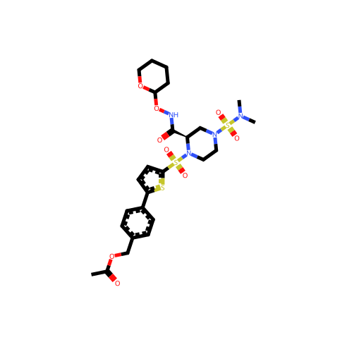 CC(=O)OCc1ccc(-c2ccc(S(=O)(=O)N3CCN(S(=O)(=O)N(C)C)C[C@@H]3C(=O)NOC3CCCCO3)s2)cc1